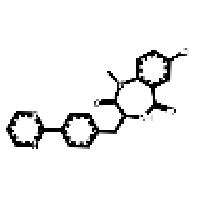 CN1C(=O)C(Cc2ccc(-c3ncccn3)cc2)NC(=O)c2cc(Cl)ccc21